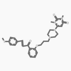 CSc1ccc(C=CC(=O)c2ccccc2OCCCN2CCN(c3cc(=O)n(C)c(=O)n3C)CC2)cc1